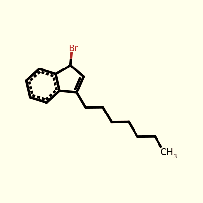 CCCCCCCC1=CC(Br)c2ccccc21